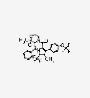 Cc1c(-c2ccc(OC(F)(F)F)cc2)c(C(=O)N2CCOC(C)(C)C2)n(Cc2ccccc2)c1C(F)(F)F